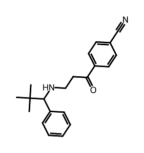 CC(C)(C)C(NCCC(=O)c1ccc(C#N)cc1)c1ccccc1